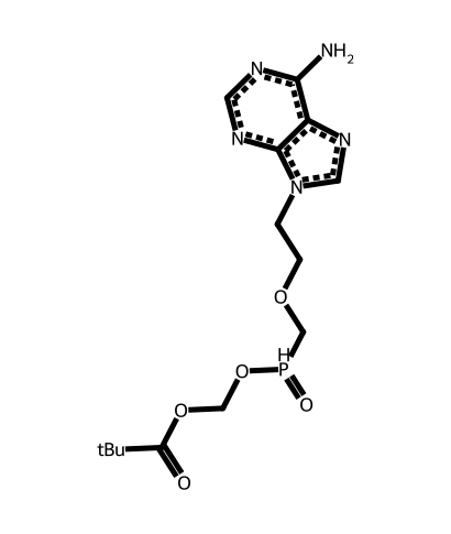 CC(C)(C)C(=O)OCO[PH](=O)COCCn1cnc2c(N)ncnc21